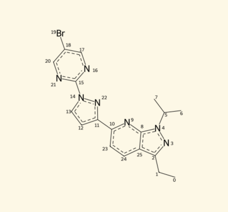 CCc1nn(C(C)C)c2nc(-c3ccn(-c4ncc(Br)cn4)n3)ccc12